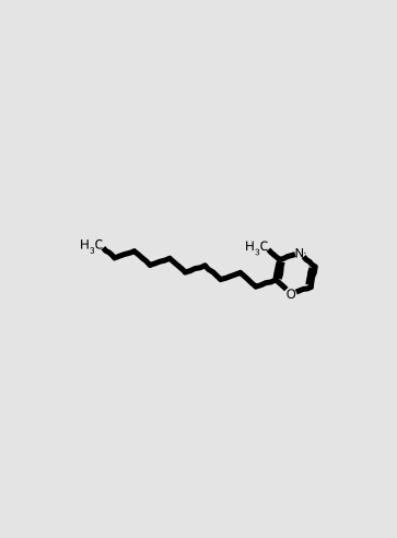 CCCCCCCCCCC1=C(C)[N]C=CO1